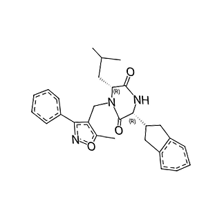 Cc1onc(-c2ccccc2)c1CN1C(=O)[C@@H](C2Cc3ccccc3C2)NC(=O)[C@H]1CC(C)C